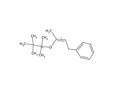 C/C(=C/Cc1ccccc1)O[Si](C)(C)C(C)(C)C